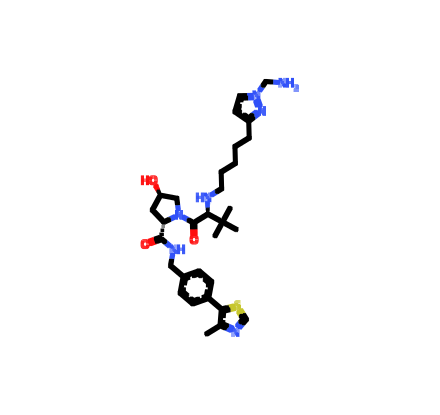 Cc1ncsc1-c1ccc(CNC(=O)[C@@H]2C[C@@H](O)CN2C(=O)[C@@H](NCCCCCc2ccn(CN)n2)C(C)(C)C)cc1